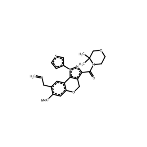 C=NCc1cc2c(cc1OC)OCc1c(C(=O)N3CCOCC3(C)C)nn(-c3ccsc3)c1-2